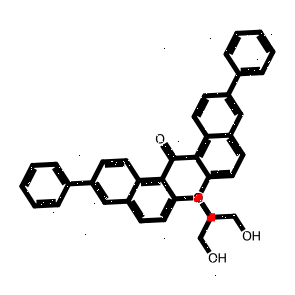 O=C(c1c(OCCO)ccc2cc(-c3ccccc3)ccc12)c1c(OCCO)ccc2cc(-c3ccccc3)ccc12